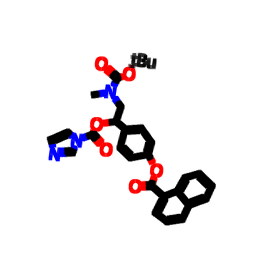 CN(CC(OC(=O)n1ccnc1)c1ccc(OC(=O)c2cccc3ccccc23)cc1)C(=O)OC(C)(C)C